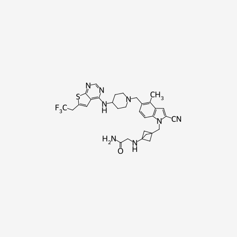 Cc1c(CN2CCC(Nc3ncnc4sc(CC(F)(F)F)cc34)CC2)ccc2c1cc(C#N)n2CC12CC(NCC(N)=O)(C1)C2